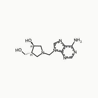 Nc1ncnc2c1ncn2CN1C[C@H](CO)[C@@H](O)C1